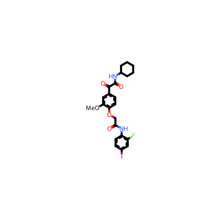 COc1cc(C(=O)C(=O)NC2CCCCC2)ccc1OCC(=O)Nc1ccc(I)cc1F